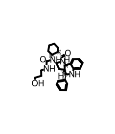 O=C(NCCCO)N[C@@H]1CCCC[C@@H]1C(=O)N1CC[C@H]2[C@H](c3ccccc3)Nc3ccccc3[C@@H]21